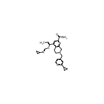 C/C=C(\S/C=N/C1CC1)c1cc(C(N)=O)nc2c1CCN(Cc1ccnc(C3CC3)c1)C2